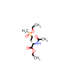 CCOC(=O)[C@H](CCP(C)(=O)OCC)NC(C)=O